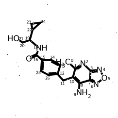 Cc1nc2nonc2c(N)c1Cc1ccc(C(=O)NC(CO)C2CC2)cc1